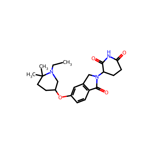 CCN1CC(Oc2ccc3c(c2)CN(C2CCC(=O)NC2=O)C3=O)CCC1(C)C